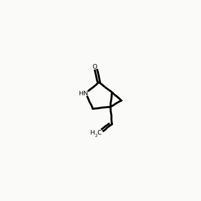 C=CC12CNC(=O)C1C2